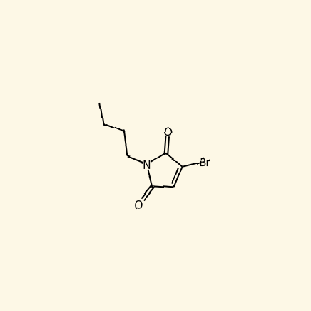 CCCCN1C(=O)C=C(Br)C1=O